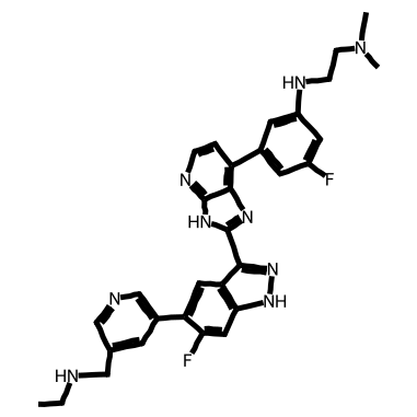 CCNCc1cncc(-c2cc3c(-c4nc5c(-c6cc(F)cc(NCCN(C)C)c6)ccnc5[nH]4)n[nH]c3cc2F)c1